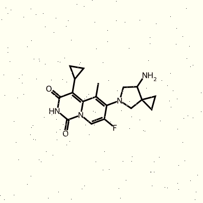 Cc1c(N2CC(N)C3(CC3)C2)c(F)cn2c(=O)[nH]c(=O)c(C3CC3)c12